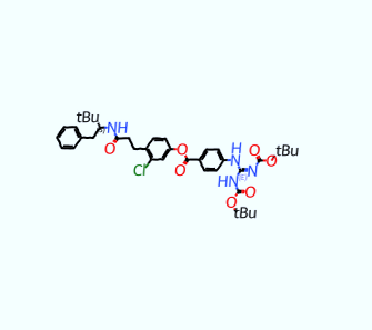 CC(C)(C)OC(=O)/N=C(/NC(=O)OC(C)(C)C)Nc1ccc(C(=O)Oc2ccc(CCC(=O)N[C@@H](Cc3ccccc3)C(C)(C)C)c(Cl)c2)cc1